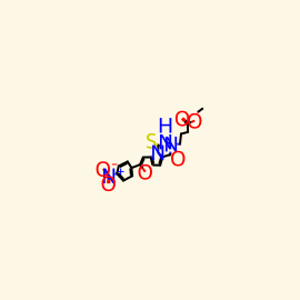 CCOC(=O)CCCn1[nH]c(=S)n2c(cc3oc(-c4ccc([N+](=O)[O-])cc4)cc32)c1=O